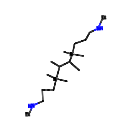 CCNCCC[Si](C)(C)C(C)C(C)[Si](C)(C)CCCNCC